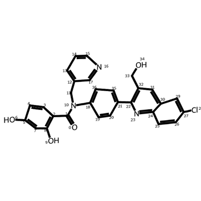 O=C(c1ccc(O)cc1O)N(Cc1cccnc1)c1ccc(-c2nc3ccc(Cl)cc3cc2CO)cc1